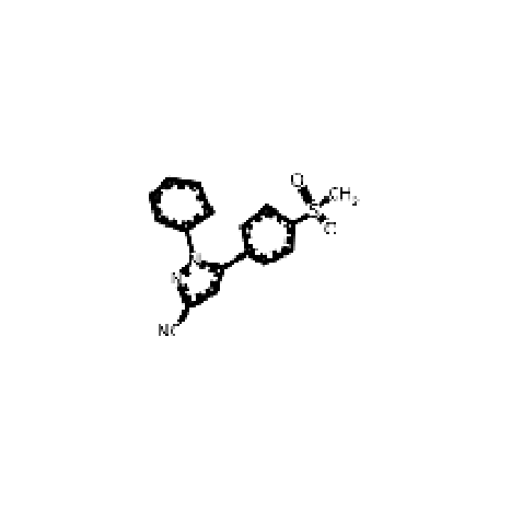 CS(=O)(=O)c1ccc(-c2cc(C#N)nn2-c2ccccc2)cc1